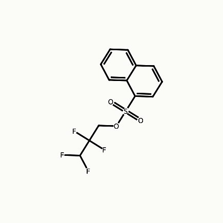 O=S(=O)(OCC(F)(F)C(F)F)c1cccc2ccccc12